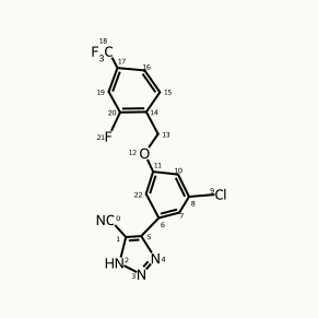 N#Cc1[nH]nnc1-c1cc(Cl)cc(OCc2ccc(C(F)(F)F)cc2F)c1